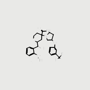 COc1ccccc1[C@H](C)C1CC(C(N)=O)(N2CCC(Oc3cccc(C(F)(F)F)c3)C2)CCO1.Cl